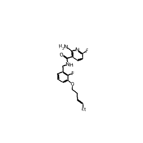 CCC=CCCOc1cccc(CNC(=O)c2ccc(F)nc2N)c1F